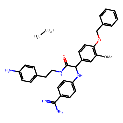 CC(=O)O.COc1cc(C(Nc2ccc(C(=N)N)cc2)C(=O)NCCc2ccc(N)cc2)ccc1OCc1ccccc1